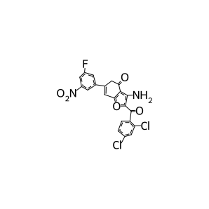 Nc1c(C(=O)c2ccc(Cl)cc2Cl)oc2c1C(=O)CC(c1cc(F)cc([N+](=O)[O-])c1)=C2